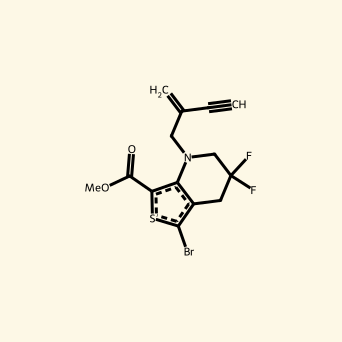 C#CC(=C)CN1CC(F)(F)Cc2c(Br)sc(C(=O)OC)c21